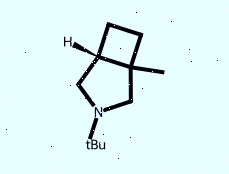 CC12CC[C@H]1CN(C(C)(C)C)C2